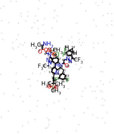 C[C@@H](N)C(=O)OCN(c1nn(CC(F)(F)F)c2c(-c3ccc(C#CC(C)(C)S(C)(=O)=O)nc3[C@H](Cc3cc(F)cc(F)c3)NC(=O)Cn3nc(C(F)(F)F)c4c3C(F)(F)[C@@H]3C[C@H]43)ccc(Cl)c12)S(C)(=O)=O